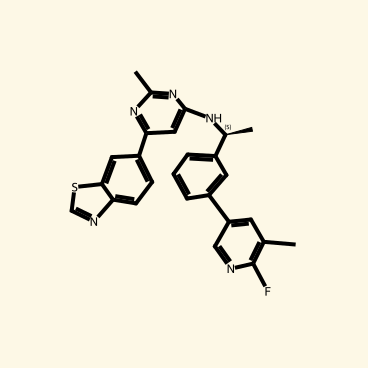 Cc1nc(N[C@@H](C)c2cccc(-c3cnc(F)c(C)c3)c2)cc(-c2ccc3ncsc3c2)n1